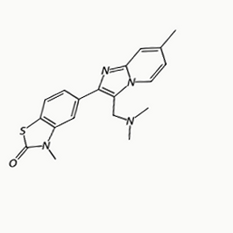 Cc1ccn2c(CN(C)C)c(-c3ccc4sc(=O)n(C)c4c3)nc2c1